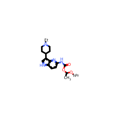 CCCOC(C)OC(=O)Nc1ccc2[nH]cc(C3CCN(CC)CC3)c2n1